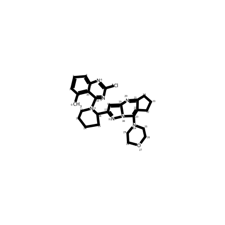 Cc1cccc2nc(Cl)nc(N3CCCCC3c3cc4nc5c(c(N6CCOCC6)n4n3)CCC5)c12